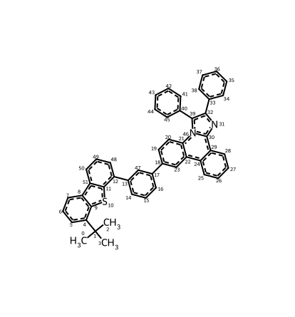 CC(C)(C)c1cccc2c1sc1c(-c3cccc(-c4ccc5c(c4)c4ccccc4c4nc(-c6ccccc6)c(-c6ccccc6)n54)c3)cccc12